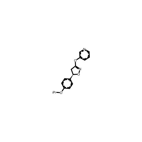 CC(C)Oc1ccc([C@H]2CC(Oc3cccnc3)=NO2)cc1